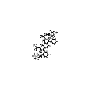 CC(O)NS(=O)(=O)c1ccccc1-c1cc(C(=O)O)nc2c1ccc1c(-c3ccccc3S(=O)(=O)NC(C)O)cc(C(=O)O)nc12